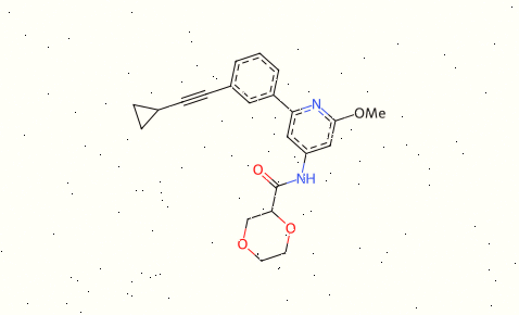 COc1cc(NC(=O)C2COCCO2)cc(-c2cccc(C#CC3CC3)c2)n1